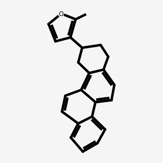 Cc1occc1C1CCc2ccc3c(ccc4ccccc43)c2C1